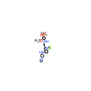 COc1cc(S(C)(=O)=O)ccc1NCC#Cc1cc2c(N[C@H]3CC[C@@H](N4CCCC4)CC3)cccc2n1CC(F)(F)F